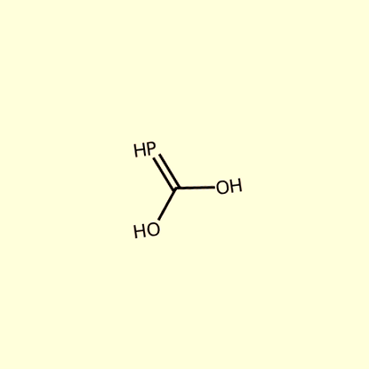 OC(O)=P